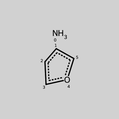 N.c1ccoc1